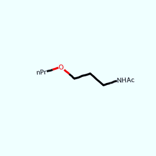 [CH2]CCOCCCNC(C)=O